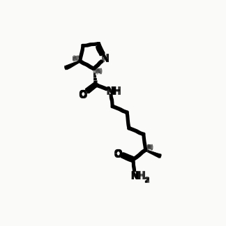 C[C@H](CCCCNC(=O)[C@H]1N=CC[C@@H]1C)C(N)=O